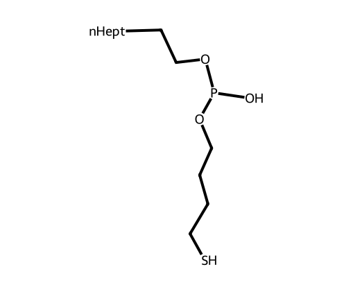 CCCCCCCCCOP(O)OCCCCS